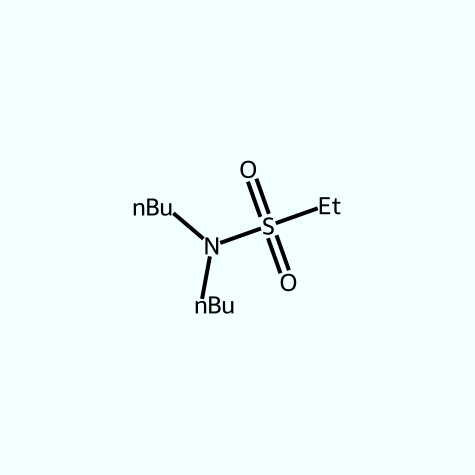 CCCCN(CCCC)S(=O)(=O)CC